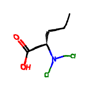 CCC[C@@H](C(=O)O)N(Cl)Cl